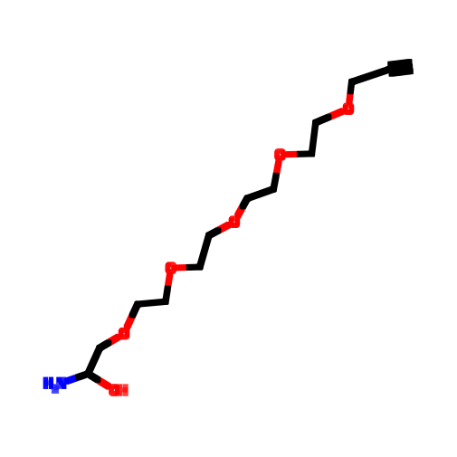 C#CCOCCOCCOCCOCCOCC(N)O